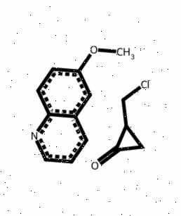 COc1ccc2ncccc2c1.O=C1CC1CCl